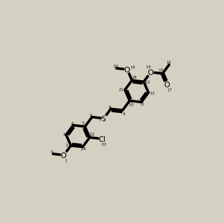 COc1ccc(CSC=Cc2ccc(OC(C)=O)c(OC)c2)c(Cl)c1